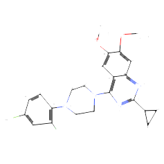 COc1cc2nc(C3CC3)nc(N3CCN(c4ccc(F)cc4Cl)CC3)c2cc1OC